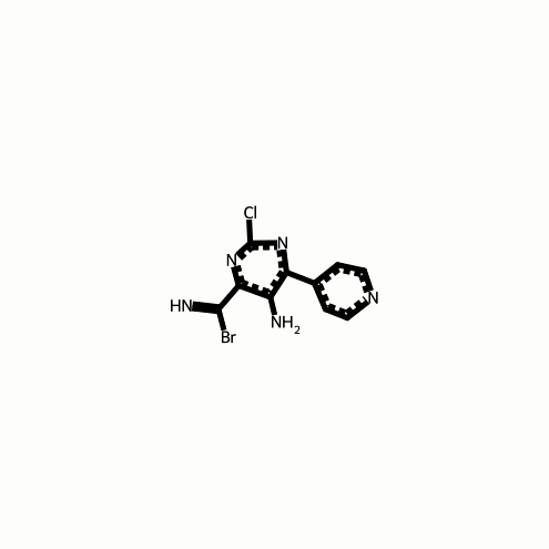 N=C(Br)c1nc(Cl)nc(-c2ccncc2)c1N